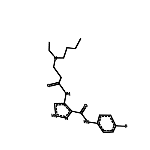 CCCCN(CC)CCC(=O)Nc1c[nH]nc1C(=O)Nc1ccc(F)cc1